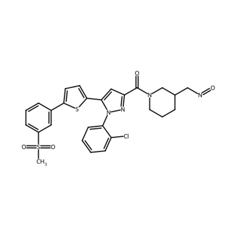 CS(=O)(=O)c1cccc(-c2ccc(-c3cc(C(=O)N4CCCC(CN=O)C4)nn3-c3ccccc3Cl)s2)c1